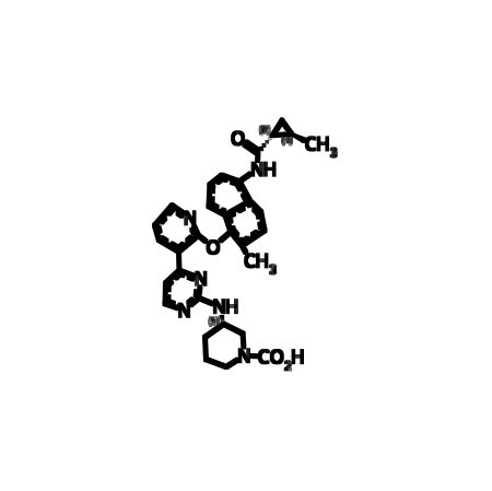 Cc1ccc2c(NC(=O)[C@@H]3C[C@H]3C)cccc2c1Oc1ncccc1-c1ccnc(N[C@H]2CCCN(C(=O)O)C2)n1